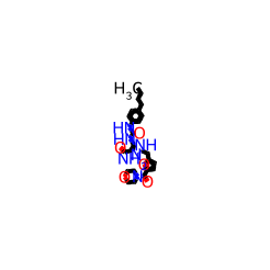 CCCCc1ccc(NC(=O)Nc2[nH]c(Cc3ccc(C(=O)N4CCOCC4)o3)nc2C(N)=O)cc1